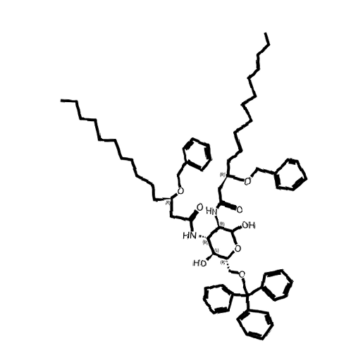 CCCCCCCCCCC[C@H](CC(=O)N[C@H]1[C@H](O)[C@@H](COC(c2ccccc2)(c2ccccc2)c2ccccc2)OC(O)[C@@H]1NC(=O)C[C@@H](CCCCCCCCCCC)OCc1ccccc1)OCc1ccccc1